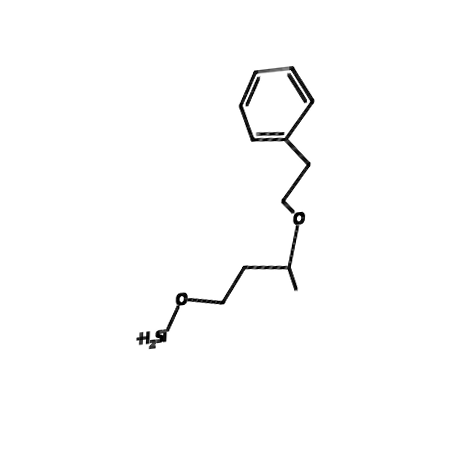 CC(CCO[SiH2])OCCc1ccccc1